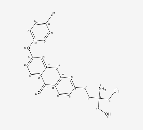 NC(CO)(CO)CCc1ccc2c(=O)c3ccc(Oc4ccc(F)cc4)cc3sc2c1